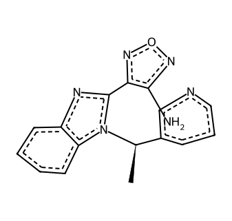 C[C@H](c1cccnc1)n1c(-c2nonc2N)nc2ccccc21